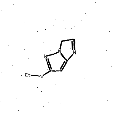 CCSc1cc2n(n1)CC=N2